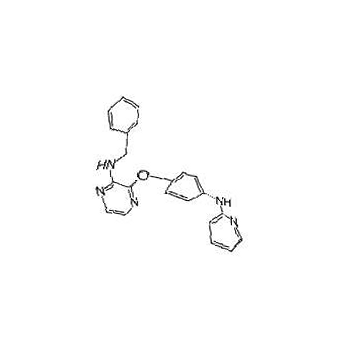 c1ccc(CNc2nccnc2Oc2ccc(Nc3ccccn3)cc2)cc1